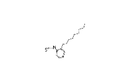 CCCCCCCCCc1ccccc1N=C=S